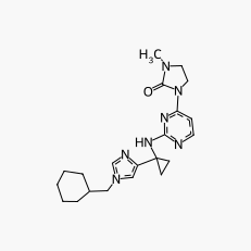 CN1CCN(c2ccnc(NC3(c4cn(CC5CCCCC5)cn4)CC3)n2)C1=O